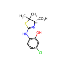 CC1(C)SC(Nc2ccc(Cl)cc2O)=N[C@H]1C(=O)O